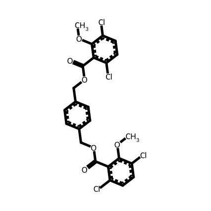 COc1c(Cl)ccc(Cl)c1C(=O)OCc1ccc(COC(=O)c2c(Cl)ccc(Cl)c2OC)cc1